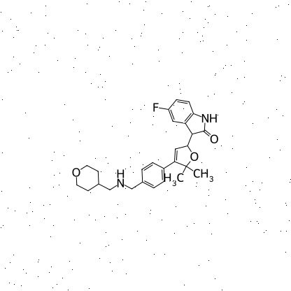 CC1(C)OC(C2C(=O)Nc3ccc(F)cc32)C=C1c1ccc(CNCC2CCOCC2)cc1